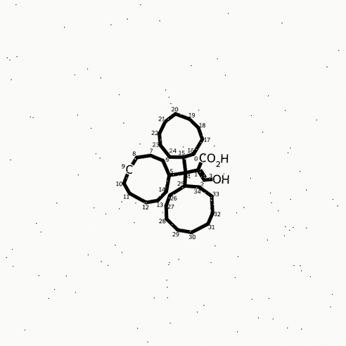 O=C(O)C(=CO)C(C1CCCCCCCCC1)(C1CCCCCCCCC1)C1CCCCCCCCC1